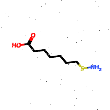 NSCCCCCCC(=O)O